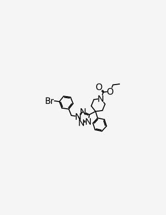 CCOC(=O)N1CCC(c2ccccc2)(c2nnn(Cc3cccc(Br)c3)n2)CC1